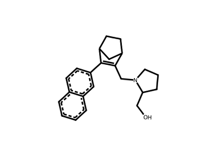 OCC1CCCN1CC1=C(c2ccc3ccccc3c2)C2CCC1C2